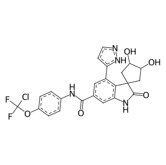 O=C(Nc1ccc(OC(F)(F)Cl)cc1)c1cc2c(c(-c3ccn[nH]3)c1)C1(CC(O)C(O)C1)C(=O)N2